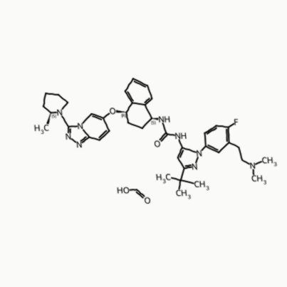 C[C@H]1CCCCN1c1nnc2ccc(O[C@@H]3CC[C@H](NC(=O)Nc4cc(C(C)(C)C)nn4-c4ccc(F)c(CCN(C)C)c4)c4ccccc43)cn12.O=CO